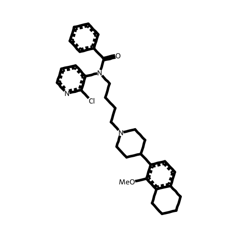 COc1c(C2CCN(CCCCN(C(=O)c3ccccc3)c3cccnc3Cl)CC2)ccc2c1CCCC2